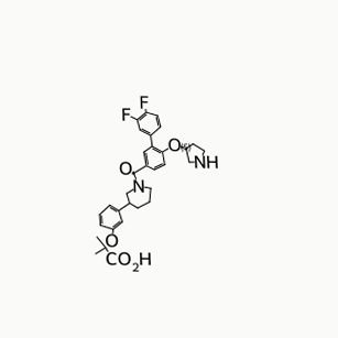 CC(C)(Oc1cccc(C2CCCN(C(=O)c3ccc(O[C@H]4CCNC4)c(-c4ccc(F)c(F)c4)c3)C2)c1)C(=O)O